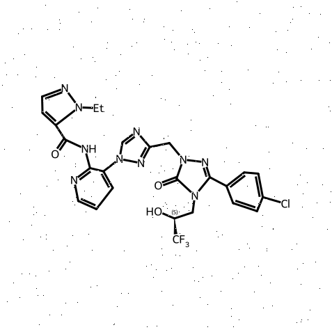 CCn1nccc1C(=O)Nc1ncccc1-n1cnc(Cn2nc(-c3ccc(Cl)cc3)n(C[C@H](O)C(F)(F)F)c2=O)n1